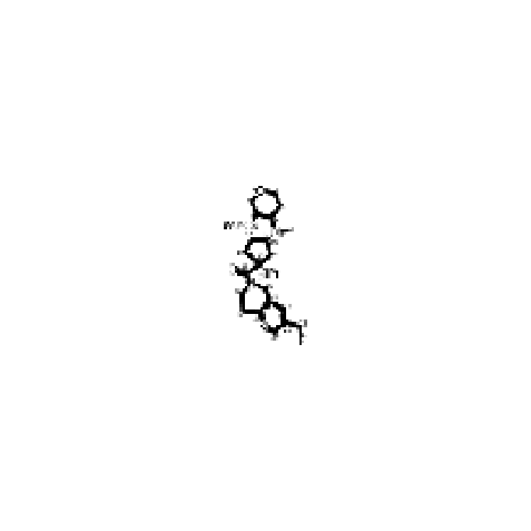 COC1COCCC1N(C)[C@@H]1CC[C@@](C(=O)N2CCc3ncc(CF)cc3C2)(C(C)C)C1